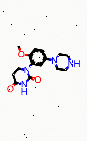 COc1ccc(N2CCNCC2)cc1N1CCC(=O)NC1=O